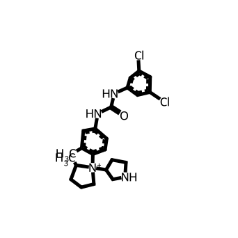 Cc1cc(NC(=O)Nc2cc(Cl)cc(Cl)c2)ccc1[N+]1(C2CCNC2)CCCC1C